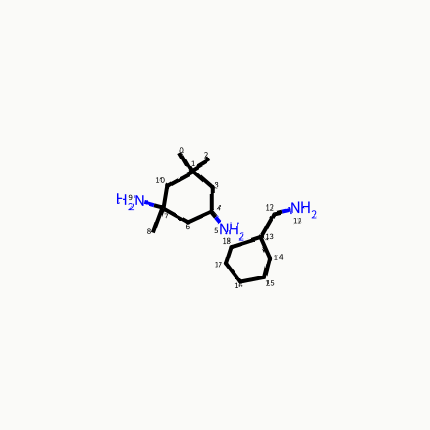 CC1(C)CC(N)CC(C)(N)C1.NCC1CCCCC1